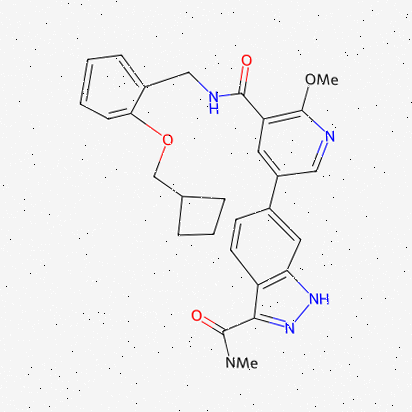 CNC(=O)c1n[nH]c2cc(-c3cnc(OC)c(C(=O)NCc4ccccc4OCC4CCC4)c3)ccc12